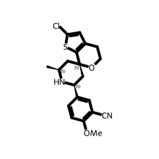 COc1ccc([C@@H]2C[C@]3(C[C@H](C)N2)OCCc2cc(Cl)sc23)cc1C#N